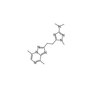 Cc1ncc(C)n2nc(CCc3nc(N(C)C)nn3C)nc12